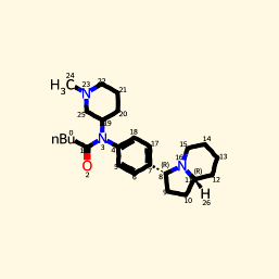 CCCCC(=O)N(c1ccc([C@H]2CC[C@H]3CCCCN32)cc1)C1CCCN(C)C1